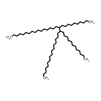 CCCCCCCCCCCCCCCC[C](CCCCCCCCCC)C(CCCCCCCCCCCC)CCCCCCCCCCCCCCCC